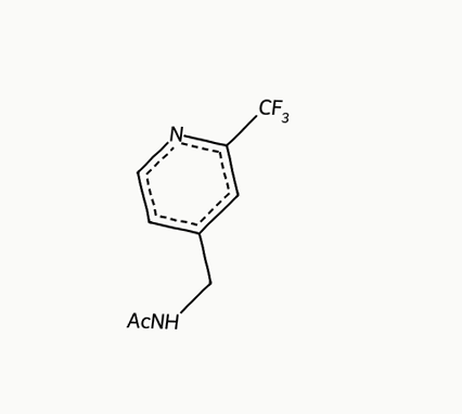 CC(=O)NCc1ccnc(C(F)(F)F)c1